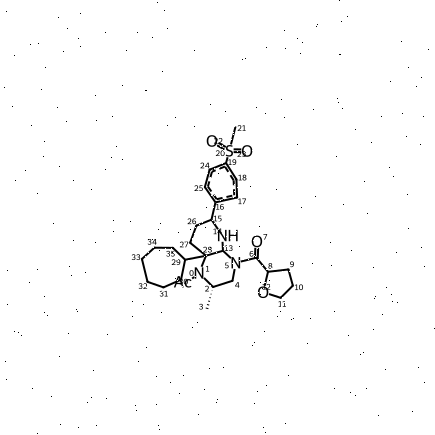 CC(=O)N1[C@@H](C)CN(C(=O)C2CCCO2)C2NC(c3ccc(S(C)(=O)=O)cc3)CCC21C1CCCCCC1